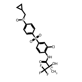 C[C@@](O)(C(=O)Nc1ccc(S(=O)(=O)c2ccc([S+]([O-])CC3CC3)cc2)cc1Cl)C(F)(F)F